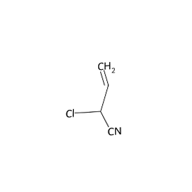 C=CC(Cl)C#N